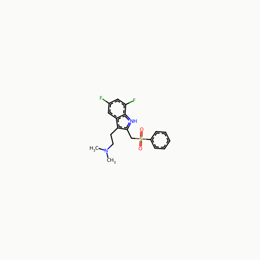 CN(C)CCc1c(CS(=O)(=O)c2ccccc2)[nH]c2c(F)cc(F)cc12